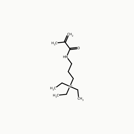 C=C(C)C(=O)NCCC[N+](CC)(CC)CC